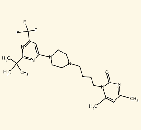 Cc1cc(C)n(CCCCN2CCN(c3cc(C(F)(F)F)nc(C(C)(C)C)n3)CC2)c(=O)n1